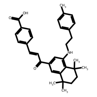 Cc1ccc(CCNc2cc(C(=O)C=Cc3ccc(C(=O)O)cc3)cc3c2C(C)(C)CCC3(C)C)cc1